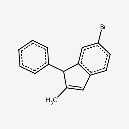 CC1=Cc2ccc(Br)cc2C1c1ccccc1